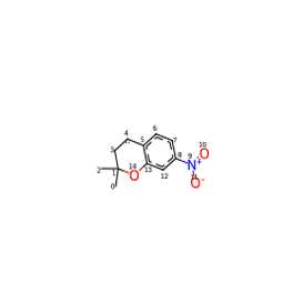 CC1(C)C[C]c2ccc([N+](=O)[O-])cc2O1